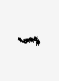 FC1(F)CCN(c2cncc(-c3ncn(Cc4cn5cc(CNCC6CCC6)ccc5n4)n3)c2)C1